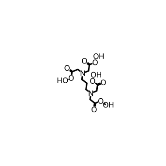 O=C(CN(CCCN(CC(=O)OO)CC(=O)OO)CC(=O)OO)OO